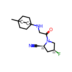 CC12CCC(NCC(=O)N3C[C@@H](F)C[C@H]3C#N)(CC1)CC2